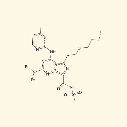 CCN(CC)c1nc(Nc2cc(C)ccn2)c2c(n1)c(C(=O)NS(C)(=O)=O)nn2CCOCCCF